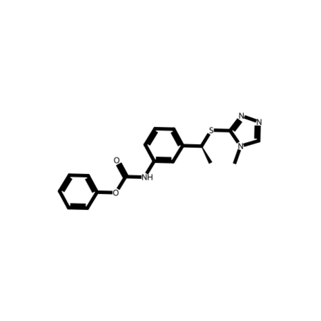 C[C@H](Sc1nncn1C)c1cccc(NC(=O)Oc2ccccc2)c1